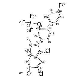 COc1cc2nc(C)c(-c3ccc(-c4ccc(F)cc4)c(OC(F)(F)F)c3)c(Cl)c2cc1Cl